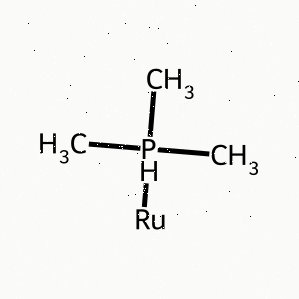 C[PH](C)(C)[Ru]